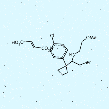 COCCNC(CC(C)C)C1(c2ccc(Cl)cc2)CCC1.O=C(O)C=CC(=O)O